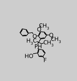 CCC(C)(Pc1ccc(F)cc1CO)c1cc(OC)cc(OC)c1OCc1ccccc1